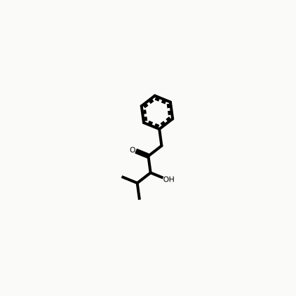 CC(C)C(O)C(=O)Cc1ccccc1